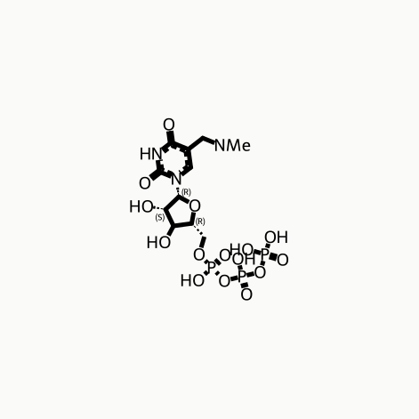 CNCc1cn([C@@H]2O[C@H](COP(=O)(O)OP(=O)(O)OP(=O)(O)O)C(O)[C@@H]2O)c(=O)[nH]c1=O